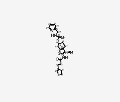 N#Cc1c(NC(=O)C=Cc2ccsc2)sc2c1CCC(OC(=O)NCc1ccccn1)C2